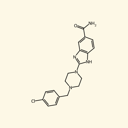 NC(=O)c1ccc2[nH]c(N3CCN(Cc4ccc(Cl)cc4)CC3)nc2c1